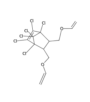 C=COCC1C(COC=C)C2(Cl)C(Cl)=C(Cl)C1(Cl)C2(Cl)Cl